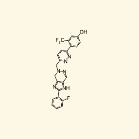 Oc1ccc(-c2ccc(CN3Cc4nc(-c5ccccc5F)[nH]c4C=N3)nn2)c(C(F)(F)F)c1